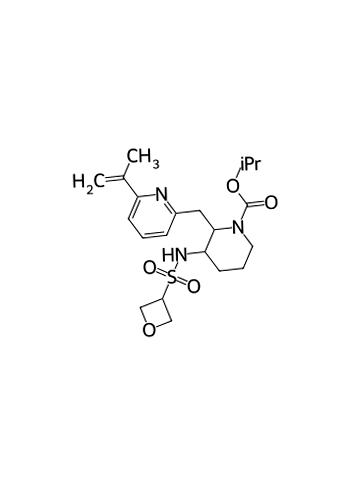 C=C(C)c1cccc(CC2C(NS(=O)(=O)C3COC3)CCCN2C(=O)OC(C)C)n1